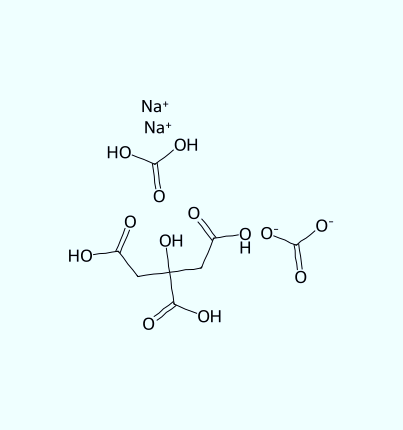 O=C(O)CC(O)(CC(=O)O)C(=O)O.O=C(O)O.O=C([O-])[O-].[Na+].[Na+]